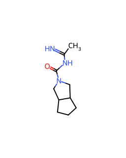 CC(=N)NC(=O)N1CC2CCCC2C1